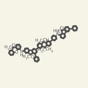 CC1(C)c2ccc(-c3cc(-c4ccccc4)c4c(c3)-c3ccc(Nc5cccc6c5Oc5ccccc5C6(C)C)cc3C4(C)C)cc2C(C)(C)c2ccc(-c3ccc(Nc4cccc5c4C(C)(C)c4ccc(-c6ccccc6)cc4-5)cc3)cc21